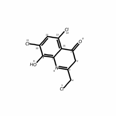 O=C1CC(CCl)=Nc2c(O)c(Cl)cc(Cl)c21